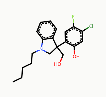 CCCCCN1CC(CO)(c2cc(F)c(Cl)cc2O)c2ccccc21